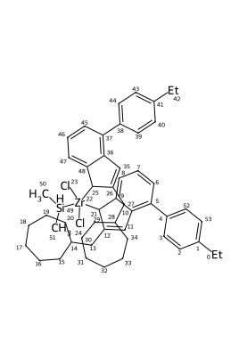 CCc1ccc(-c2cccc3c2C=C(CC2CCCCCC2)[CH]3[Zr]([Cl])([Cl])([CH]2C(CC3CCCCCC3)=Cc3c(-c4ccc(CC)cc4)cccc32)[SiH](C)C)cc1